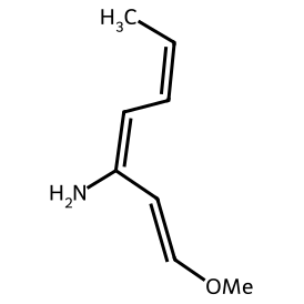 C\C=C/C=C(N)\C=C\OC